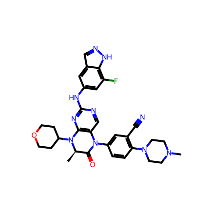 C[C@@H]1C(=O)N(c2ccc(N3CCN(C)CC3)c(C#N)c2)c2cnc(Nc3cc(F)c4[nH]ncc4c3)nc2N1C1CCOCC1